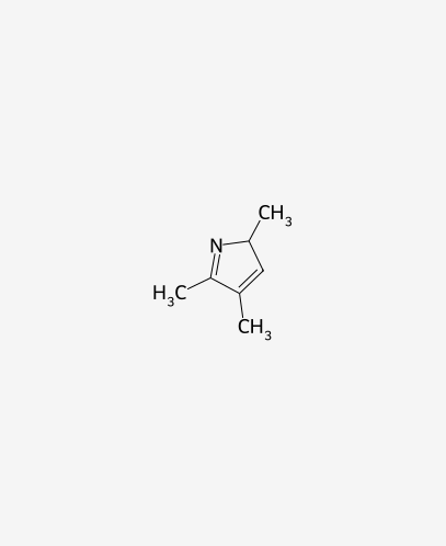 CC1=CC(C)N=C1C